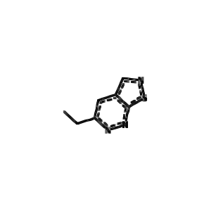 CCc1cc2cnsc2nn1